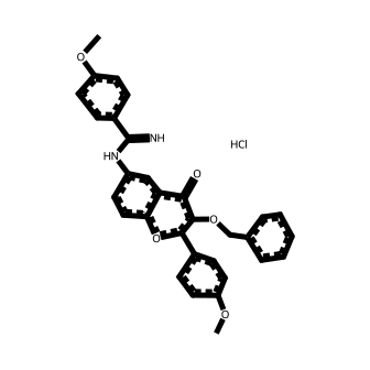 COc1ccc(C(=N)Nc2ccc3oc(-c4ccc(OC)cc4)c(OCc4ccccc4)c(=O)c3c2)cc1.Cl